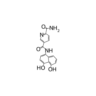 NC(=O)c1ccc(C(=O)Nc2ccc(O)c3c(O)cccc23)cn1